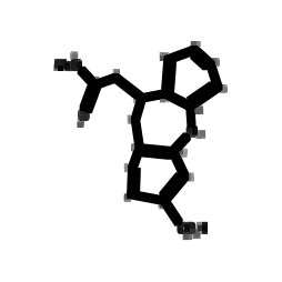 COC(=O)CC1Cc2ccc(C(=O)O)cc2Oc2ccccc21